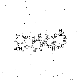 Cc1cccc(C)c1Oc1ccn([C@@H]2O[C@@H]3COSO[SiH2]OC3C2F)c(=O)n1